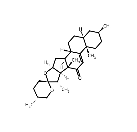 C[C@@H]1CC[C@@]2(OC1)O[C@H]1C[C@H]3[C@@H]4CC[C@H]5C[C@@H](C)CC[C@]5(C)C4=CC(=O)[C@]3(C)[C@H]1[C@@H]2C